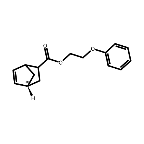 O=C(OCCOc1ccccc1)C1C[C@@H]2C=CC1C2